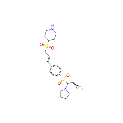 C=CC(N1CCCC1)S(=O)(=O)c1ccc(C=CCS(=O)(=O)C2CCNCC2)cc1